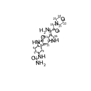 NC(=O)Nc1ccc2c(c1)/C(=C/c1cc(C(N)C(=O)CN3CCOCC3)c[nH]1)C(=O)N2